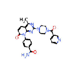 Cc1nc(N2CCN(C(=O)c3cccnc3)CC2)nc2c1ccc(=O)n2-c1ccc(C(N)=O)cc1